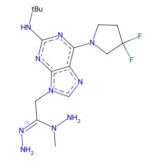 CN(N)/C(Cn1cnc2c(N3CCC(F)(F)C3)nc(NC(C)(C)C)nc21)=N\N